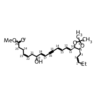 CC/C=C\C[C@@H]1OC(C)(C)O[C@@H]1/C=C/C=C/C#C/C=C/[C@@H](O)C/C=C\CCC(=O)OC